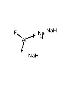 [F][Al]([F])[F].[NaH].[NaH].[NaH]